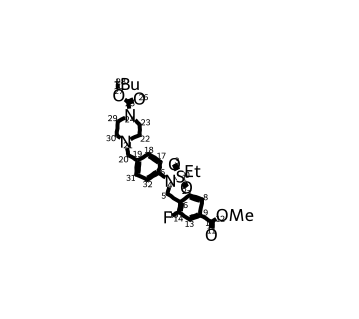 CCS(=O)(=O)N(Cc1ccc(C(=O)OC)cc1F)c1ccc(CN2CCN(C(=O)OC(C)(C)C)CC2)cc1